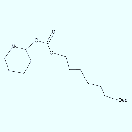 CCCCCCCCCCCCCCCCOC(=O)OC1CCCC[N]1